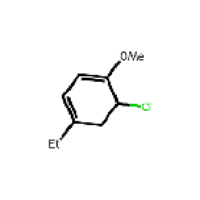 CCC1=CC=C(OC)C(Cl)C1